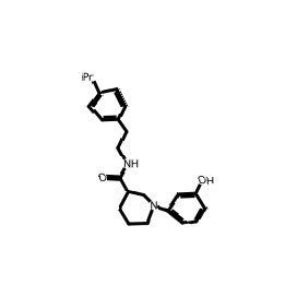 CC(C)c1ccc(CCNC(=O)C2CCCN(c3cccc(O)c3)C2)cc1